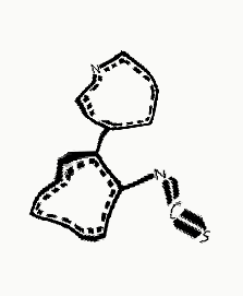 S=C=Nc1ccccc1-c1cccnc1